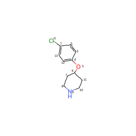 Clc1[c]cc(OC2CCNCC2)cc1